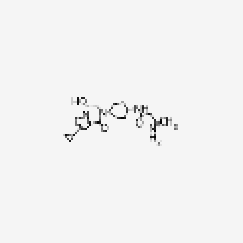 C[C@@H](N)CC(=O)N[C@H]1CC[C@H](N(CCO)C(=O)c2cc(C3CC3)on2)CC1